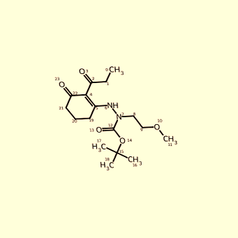 CCC(=O)C1=C(NN(CCOC)C(=O)OC(C)(C)C)CCCC1=O